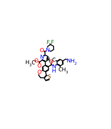 COC(=O)c1nc(C(=O)N2CCCC(F)(F)C2)ccc1-c1cc2c(cc1C(=O)Nc1c(C)cc(CN)cc1C)-c1sccc1CCO2